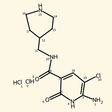 Cl.Cl.Nc1[nH]c(=O)c(C(=O)NCC2CCNCC2)cc1Cl